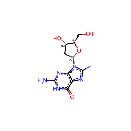 Nc1nc2c(nc(I)n2[C@H]2C[C@H](O)[C@@H](CO)O2)c(=O)[nH]1